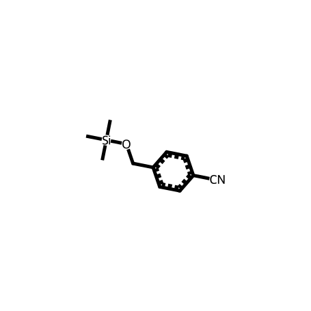 C[Si](C)(C)OCc1ccc(C#N)cc1